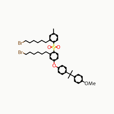 COc1ccc(C(C)(C)c2ccc(Oc3ccc(S(=O)(=O)c4ccc(C)cc4CCCCCCBr)c(CCCCCCBr)c3)cc2)cc1